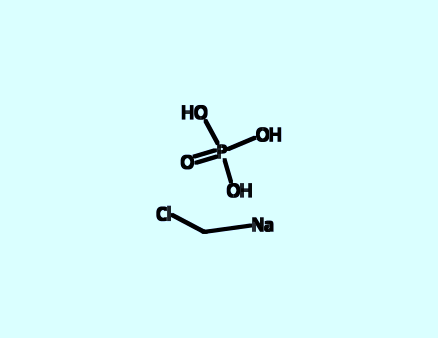 O=P(O)(O)O.[Na][CH2]Cl